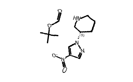 CC(C)(C)OC=O.O=[N+]([O-])c1cnn([C@H]2CCCNC2)c1